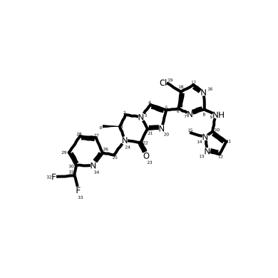 C[C@H]1Cn2cc(-c3nc(Nc4ccnn4C)ncc3Cl)nc2C(=O)N1Cc1cccc(C(F)F)n1